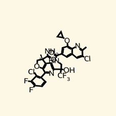 Cc1nc2c(OC3CC3)cc(C(=O)NCC(O)(c3cc4c(c(-c5ccc(F)c(F)c5Cl)n3)OC[C@]4(C)C(N)=O)C(F)(F)F)cc2cc1Cl